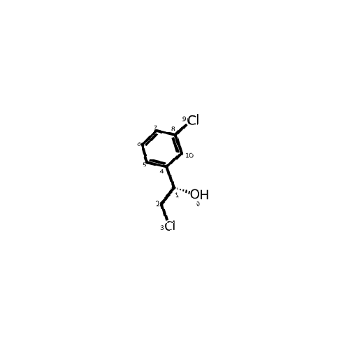 O[C@H](CCl)c1cccc(Cl)c1